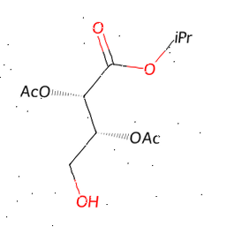 CC(=O)O[C@H](C(=O)OC(C)C)[C@@H](CO)OC(C)=O